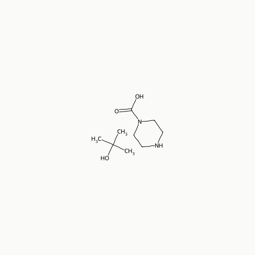 CC(C)(C)O.O=C(O)N1CCNCC1